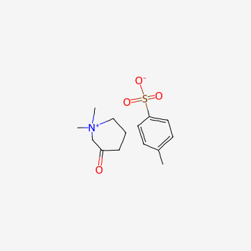 C[N+]1(C)CCCC(=O)C1.Cc1ccc(S(=O)(=O)[O-])cc1